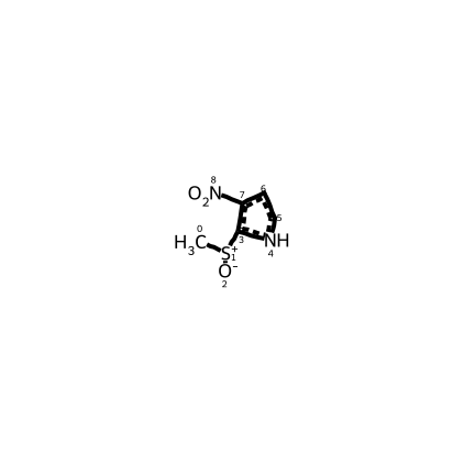 C[S+]([O-])c1[nH]ccc1[N+](=O)[O-]